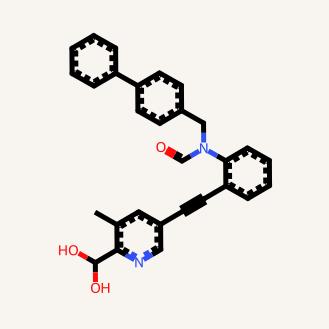 Cc1cc(C#Cc2ccccc2N(C=O)Cc2ccc(-c3ccccc3)cc2)cnc1C(O)O